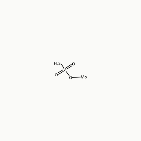 [O]=[V](=[O])([SiH3])[O][Mo]